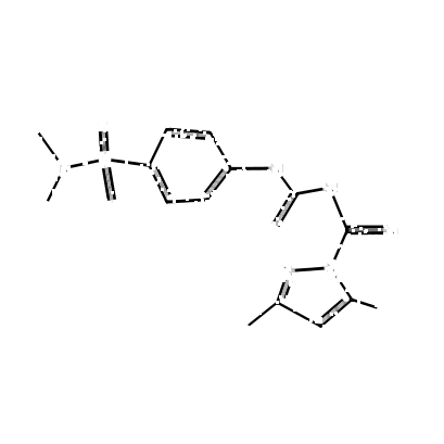 Cc1cc(C)n(C(=N)NC(=S)Nc2ccc(S(=O)(=O)N(C)C)cc2)n1